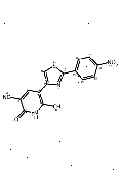 Cc1[nH]c(=O)c(C#N)cc1-c1csc(-c2ccc([N+](=O)[O-])cc2)n1